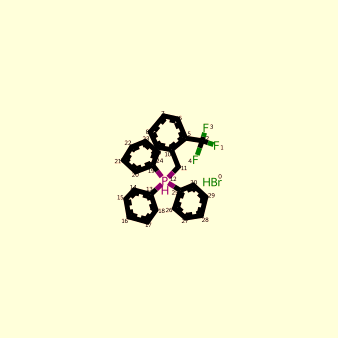 Br.FC(F)(F)c1ccccc1C[PH](c1ccccc1)(c1ccccc1)c1ccccc1